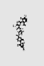 CCc1ncc(-c2c(C(F)F)ccc(Cl)c2F)nc1C(=O)Nc1cnn(C(C)c2cnc(N3CC4C(C)C4C3=O)c(C)c2)c1